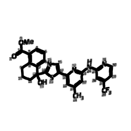 COC(=O)c1cccc2c1CCCC2(O)c1ncc(-c2cc(C)cc(Nc3cc(C(F)(F)F)ccn3)n2)s1